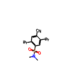 CC(C)c1cc(S(=O)(=O)N(C)C)c(C(C)C)cc1C#N